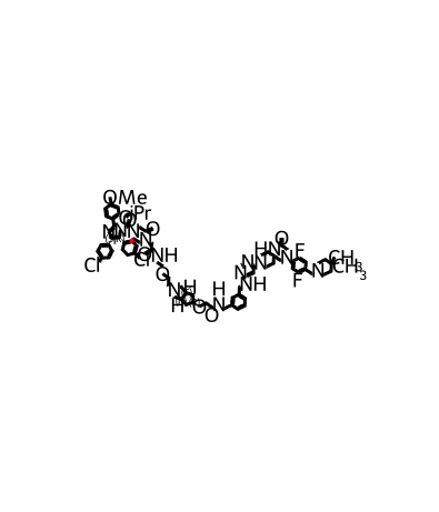 COc1ccc(C2=N[C@@H](c3ccc(Cl)cc3)[C@@H](C3=CC=C(Cl)CC3)N2C(=O)N2CCN(CC(=O)NCCOCCN3C[C@H]4C[C@@H](OCC(=O)NCc5cccc(CNc6cc(N7CCC8(CC7)CN(c7cc(F)c(CN9CCC(C)(C)CC9)cc7F)CC(=O)N8)ncn6)c5)C[C@H]4C3)C(=O)C2)c(OC(C)C)c1